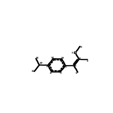 COC(C)=C(C)c1ccc(C(C)C)cc1